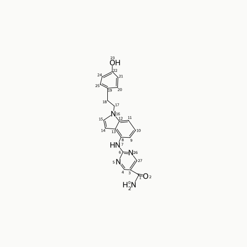 NC(=O)c1cnc(Nc2cccc3c2ccn3CCc2ccc(O)cc2)nc1